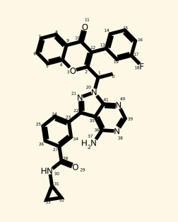 CC(c1oc2ccccc2c(=O)c1-c1cccc(F)c1)n1nc(-c2cccc(C(=O)NC3CC3)c2)c2c(N)ncnc21